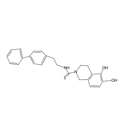 Oc1ccc2c(c1O)CCN(C(=S)NCCc1ccc(-c3ccccc3)cc1)C2